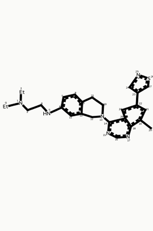 CCN(CC)CCNc1ccc2c(c1)CN(c1ncnc3c(C)cc(-c4cnsc4)cc13)CC2